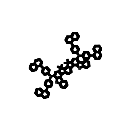 CC1(C)c2cc(N(c3ccc(-c4cccc5ccccc45)cc3)c3ccc(-c4cccc5ccccc45)cc3)c3c(oc4ccccc43)c2-c2ccc3c(c21)C(C)(C)c1cc(N(c2ccc(-c4cccc5ccccc45)cc2)c2ccc(-c4cccc5ccccc45)cc2)c2oc4ccccc4c2c1-3